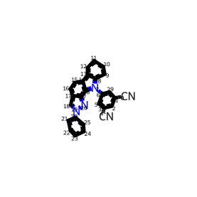 N#Cc1cc(C#N)cc(-n2c3ccccc3c3ccc4cn(-c5ccccc5)nc4c32)c1